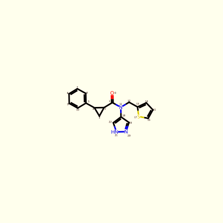 O=C(C1CC1c1ccccc1)N(Cc1cccs1)c1cn[nH]c1